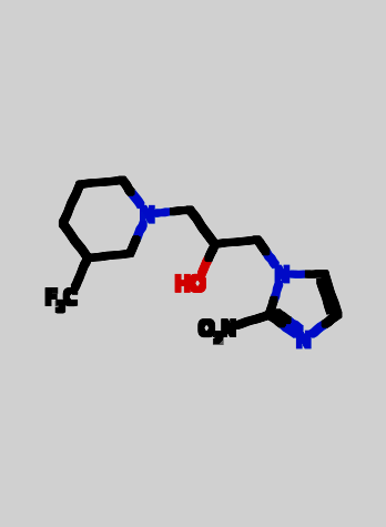 O=[N+]([O-])c1nccn1CC(O)CN1CCCC(C(F)(F)F)C1